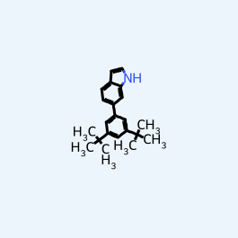 CC(C)(C)c1cc(-c2ccc3cc[nH]c3c2)cc(C(C)(C)C)c1